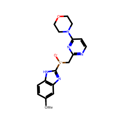 COc1ccc2[nH]c([S+]([O-])Cc3nccc(N4CCOCC4)n3)nc2c1